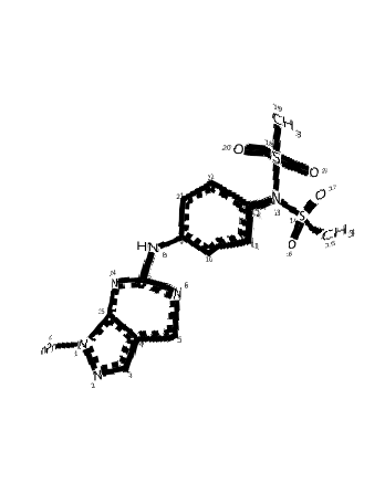 CCCn1ncc2cnc(Nc3ccc(N(S(C)(=O)=O)S(C)(=O)=O)cc3)nc21